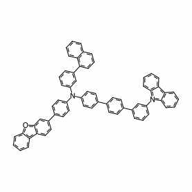 c1cc(-c2cccc3ccccc23)cc(N(c2ccc(-c3ccc(-c4cccc(-n5c6ccccc6c6ccccc65)c4)cc3)cc2)c2ccc(-c3ccc4c(c3)oc3ccccc34)cc2)c1